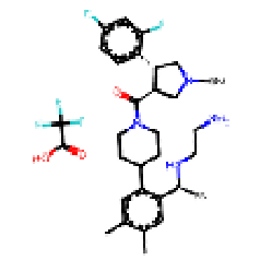 CC[C@H](NCCN)c1cc(C)c(C)cc1C1CCN(C(=O)[C@@H]2CN(C(C)(C)C)C[C@H]2c2ccc(F)cc2F)CC1.O=C(O)C(F)(F)F